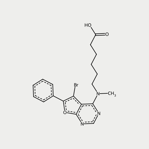 CN(CCCCCC(=O)O)c1ncnc2oc(-c3ccccc3)c(Br)c12